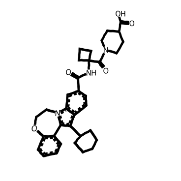 O=C(NC1(C(=O)N2CCC(C(=O)O)CC2)CCC1)c1ccc2c(C3CCCCC3)c3n(c2c1)CCOc1ccccc1-3